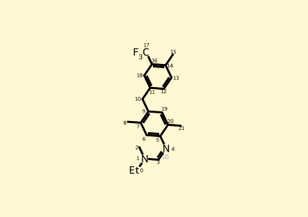 CCN(C)/C=N\c1cc(C)c(Cc2ccc(C)c(C(F)(F)F)c2)cc1C